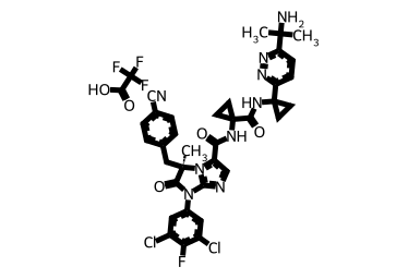 CC(C)(N)c1ccc(C2(NC(=O)C3(NC(=O)c4cnc5n4[C@](C)(Cc4ccc(C#N)cc4)C(=O)N5c4cc(Cl)c(F)c(Cl)c4)CC3)CC2)nn1.O=C(O)C(F)(F)F